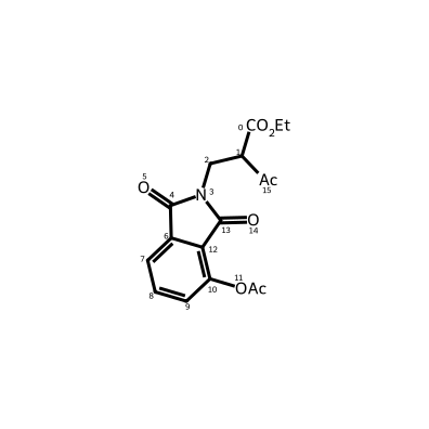 CCOC(=O)C(CN1C(=O)c2cccc(OC(C)=O)c2C1=O)C(C)=O